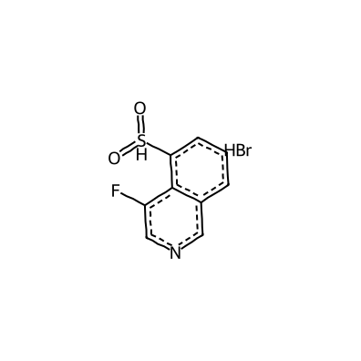 Br.O=[SH](=O)c1cccc2cncc(F)c12